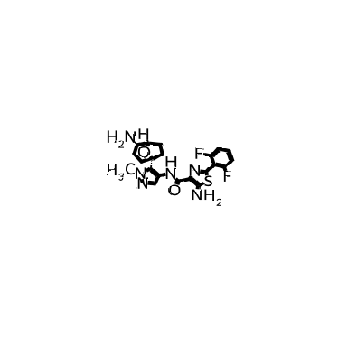 Cn1ncc(NC(=O)c2nc(-c3c(F)cccc3F)sc2N)c1[C@@]12CC[C@H](N)[C@@H](CC1)O2